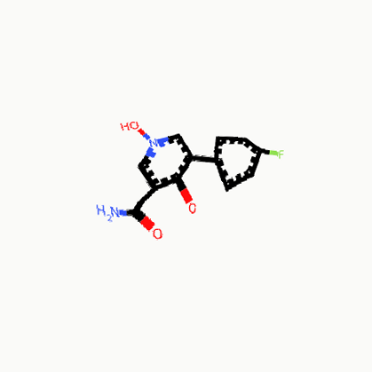 NC(=O)c1cn(O)cc(-c2ccc(F)cc2)c1=O